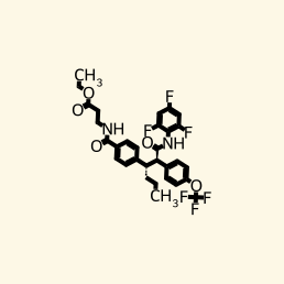 CCC[C@H](c1ccc(C(=O)NCCC(=O)OCC)cc1)[C@@H](C(=O)Nc1c(F)cc(F)cc1F)c1ccc(OC(F)(F)F)cc1